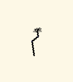 CCCCCCCCCCC/C=C\CCCC/C=C\CCCC(O)(C[N+](C)(C)C)P(=O)(O)O